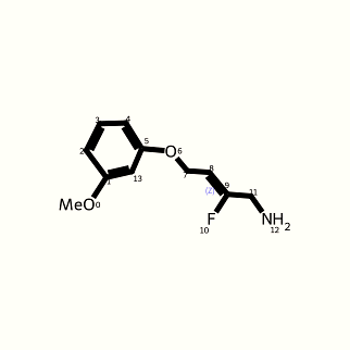 COc1cccc(OC/C=C(\F)CN)c1